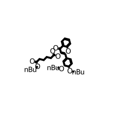 CCCCOC(=O)CCCCC(=O)Oc1c(C2=CC(OCCCC)C(OCCCC)C=C2)oc2ccccc2c1=O